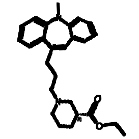 CCOC(=O)[C@@H]1CCCN(CCCC2=Cc3ccccc3N(C)c3ccccc32)C1